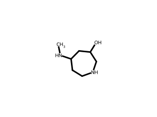 CNC1CCNCC(O)C1